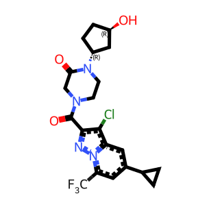 O=C(c1nn2c(C(F)(F)F)cc(C3CC3)cc2c1Cl)N1CCN([C@@H]2CC[C@@H](O)C2)C(=O)C1